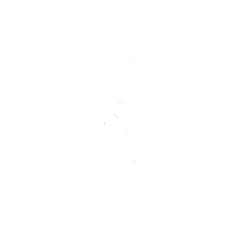 O=C1c2cc([N+](=O)[O-])ccc2-n2c1nc1c(Br)c(Cl)ccc1c2=O